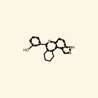 Oc1cccc(-c2nc3ccc4[nH]ncc4c3c3c2CCCC3)c1